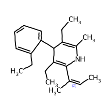 C/C=C(/C)C1=C(CC)C(c2ccccc2CC)C(CC)=C(C)N1